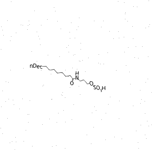 CCCCCCCCCCCCCCCCCC(=O)NCCCOS(=O)(=O)O